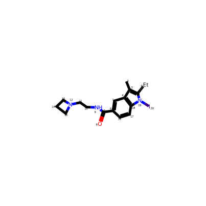 CCc1c(C)c2cc(C(=O)NCCN3CCC3)ccc2n1I